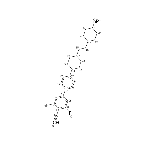 C#Cc1c(F)cc(-c2ccc(C3CCC(CCC4CCC(CCC)CC4)CC3)cc2)cc1F